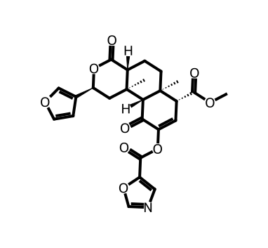 COC(=O)[C@@H]1C=C(OC(=O)c2cnco2)C(=O)[C@H]2[C@@]1(C)CC[C@H]1C(=O)O[C@H](c3ccoc3)C[C@]21C